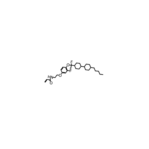 C=CC(=O)NCCOc1ccc(OC(F)(F)C2CCC(C3CCC(CCCCC)CC3)CC2)c(F)c1